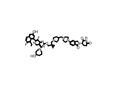 CCc1c(F)ccc2cc(O)cc(-c3ncc4c(N5CCC[C@@H](O)CC5)nc(OCC5(CN6CCC(CN7CCN(c8ccc9c(c8)CN([C@H]8CCC(=O)NC8=O)C9=O)CC7)CC6)CC5)nc4c3F)c12